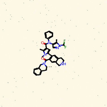 Cc1c(N(C(=O)c2cc(-c3cc4c(cc3C(=O)N3Cc5ccccc5C[C@H]3C)CNCC4)n(C)c2C)c2ccccc2)cnn1C(F)F